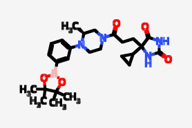 C[C@H]1CN(C(=O)CCC2(C3CC3)NC(=O)NC2=O)CCN1c1cccc(B2OC(C)(C)C(C)(C)O2)c1